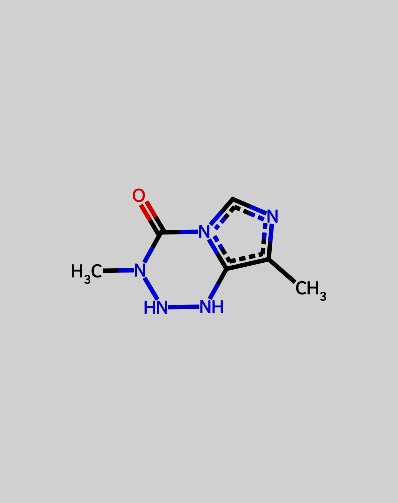 Cc1ncn2c1NNN(C)C2=O